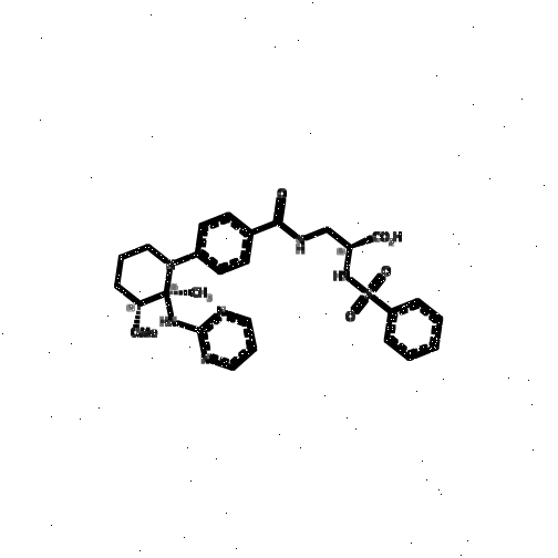 CO[C@@H]1CCCN(c2ccc(C(=O)NC[C@H](NS(=O)(=O)c3ccccc3)C(=O)O)cc2)[C@@]1(C)Nc1ncccn1